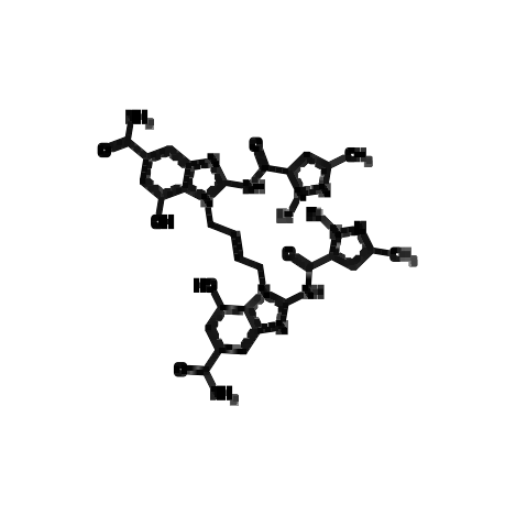 CCn1nc(C)cc1C(=O)Nc1nc2cc(C(N)=O)cc(O)c2n1C/C=C/Cn1c(NC(=O)c2cc(C)nn2CC)nc2cc(C(N)=O)cc(O)c21